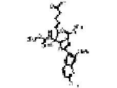 CCC(=O)CC/C=C/CC(CC)(NC(=O)OC(C)(C)C)c1nc(-c2cc3ccc(C)nc3cc2OC)cn1C(=O)OC(C)(C)C